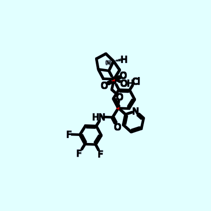 O=C(Nc1cc(F)c(F)c(F)c1)c1ccc(Cl)c(S(=O)(=O)C2C3CC[C@H]2C[C@](O)(COCc2ccccn2)C3)c1